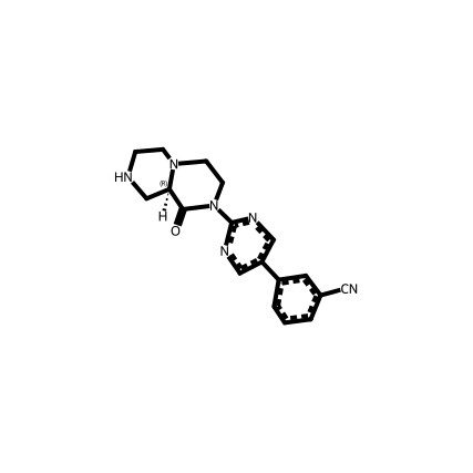 N#Cc1cccc(-c2cnc(N3CCN4CCNC[C@@H]4C3=O)nc2)c1